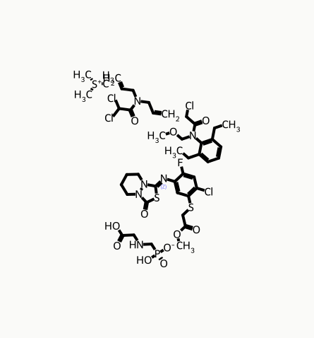 C=CCN(CC=C)C(=O)C(Cl)Cl.CCc1cccc(CC)c1N(COC)C(=O)CCl.COC(=O)CSc1cc(/N=c2\sc(=O)n3n2CCCC3)c(F)cc1Cl.C[S+](C)C.O=C(O)CNCP(=O)([O-])O